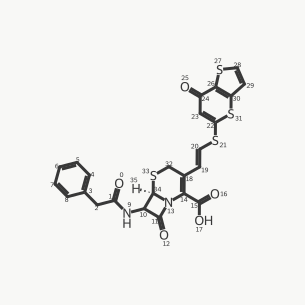 O=C(Cc1ccccc1)NC1C(=O)N2C(C(=O)O)=C(/C=C/Sc3cc(=O)c4sccc4s3)CS[C@H]12